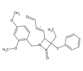 CCC1(Sc2ccccc2)C(=O)N(Cc2ccc(OC)cc2OC)C1/C=C/C=O